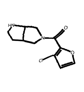 O=C(c1occc1Cl)N1CC2CCNC2C1